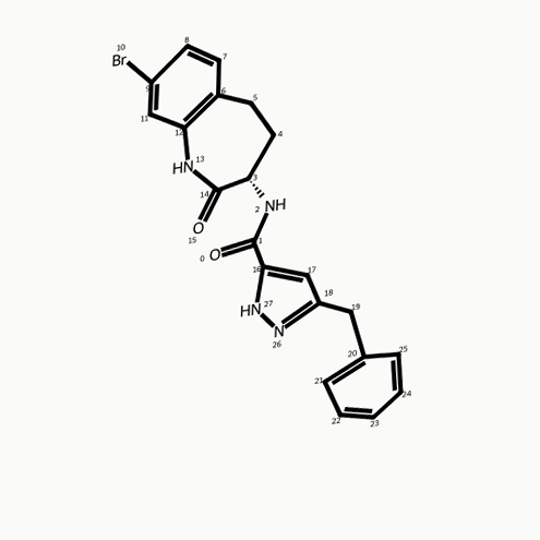 O=C(N[C@H]1CCc2ccc(Br)cc2NC1=O)c1cc(Cc2ccccc2)n[nH]1